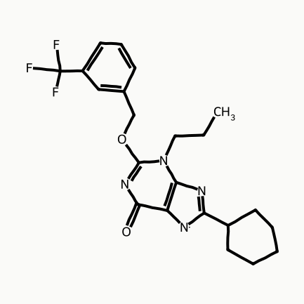 CCCn1c(OCc2cccc(C(F)(F)F)c2)nc(=O)c2c1N=C(C1CCCCC1)[N]2